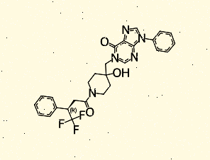 O=C(C[C@H](c1ccccc1)C(F)(F)F)N1CCC(O)(Cn2cnc3c(ncn3-c3ccccc3)c2=O)CC1